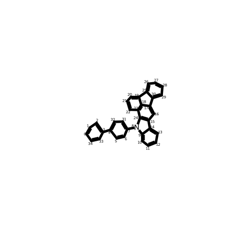 c1ccc(-c2ccc(-n3c4ccccc4c4cc5c6c(cccc6c43)-c3ccccc3-5)cc2)cc1